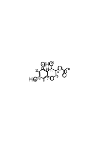 CC(=O)OC1COc2cc(O)cc(O)c2C1=O